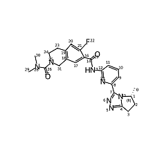 C[C@@H]1CCc2nnc(-c3cccc(NC(=O)c4cc5c(cc4F)CCN(C(=O)N(C)C)C5)n3)n21